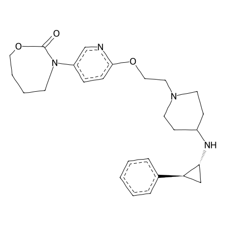 O=C1OCCCCN1c1ccc(OCCN2CCC(N[C@@H]3C[C@H]3c3ccccc3)CC2)nc1